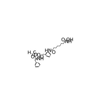 COC(=O)[C@H](Cc1ccccc1)NC(=O)OCc1cccc(NC(=O)CCCCCCC(=O)NO)c1